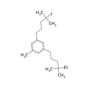 CCC(C)(C)CCCc1cc(C)cc(CCCC(C)(C)I)c1